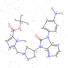 CN(C)c1ccc(-n2c(=O)n(C3CCN(Cc4ncc(C(=O)OC(C)(C)C)n4C)C3)c3ncccc32)cc1